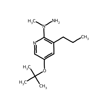 CCCc1cc(OC(C)(C)C)cnc1N(C)N